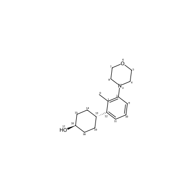 Cc1c(N2CCOCC2)cccc1[C@H]1CC[C@H](O)CC1